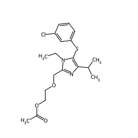 CCn1c(COCCOC(C)=O)nc(C(C)C)c1Sc1cccc(Cl)c1